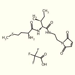 CC[C@H](C)[C@H](NC(=O)[C@@H](N)CCSC)C(=O)NCCN1C(=O)C=CC1=O.O=C(O)C(F)(F)F